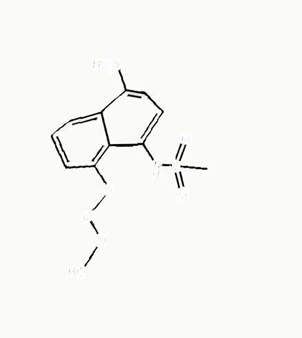 CS(=O)(=O)Nc1ccc(S(=O)(=O)O)c2cccc(SOOO)c12